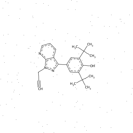 C#CCn1nc(-c2cc(C(C)(C)C)c(O)c(C(C)(C)C)c2)c2cccnc21